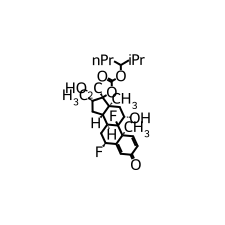 CCCC(OC(=O)O[C@@]1(C(=O)O)[C@H](C)C[C@H]2[C@@H]3C[C@H](F)C4=CC(=O)C=C[C@]4(C)C3(F)[C@@H](O)C[C@@]21C)C(C)C